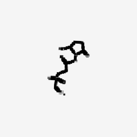 C=CS(=O)(=O)CCC(=O)ON1C(=O)CCC1O